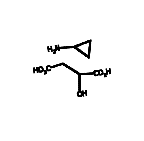 NC1CC1.O=C(O)CC(O)C(=O)O